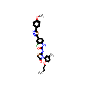 Cc1ccc(OCCCC(F)(F)F)c(N2C(=O)CSC2=NC(=O)Nc2ccc(-c3nnc(-c4ccc(OC(F)(F)F)cc4)s3)cc2F)c1